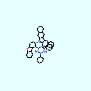 c1ccc(C2=NC(c3c(-n4c5cc6ccccc6cc5c5cc6ccccc6cc54)ccc4oc5ccccc5c34)NC(c3ccccc3)N2)cc1